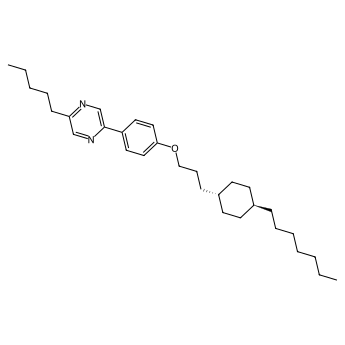 CCCCCCC[C@H]1CC[C@H](CCCOc2ccc(-c3cnc(CCCCC)cn3)cc2)CC1